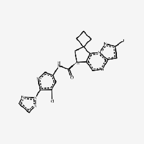 O=C(Nc1cnc(-n2nccn2)c(Cl)c1)[C@H]1CC2(CCC2)c2c1cnc1cc(F)nn21